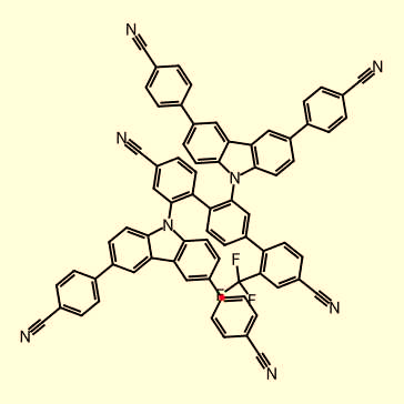 N#Cc1ccc(-c2ccc3c(c2)c2cc(-c4ccc(C#N)cc4)ccc2n3-c2cc(C#N)ccc2-c2ccc(-c3ccc(C#N)cc3C(F)(F)F)cc2-n2c3ccc(-c4ccc(C#N)cc4)cc3c3cc(-c4ccc(C#N)cc4)ccc32)cc1